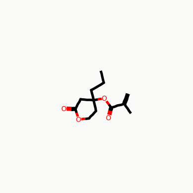 C=C(C)C(=O)OC1(CCC)CCOC(=O)C1